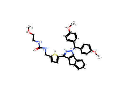 COCCNC(=O)NCc1ccc(-c2nn(C(c3ccc(OC)cc3)c3ccc(OC)cc3)c3c2Cc2ccccc2-3)s1